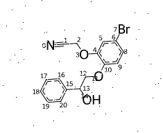 N#CCOc1cc(Br)ccc1OCC(O)c1ccccc1